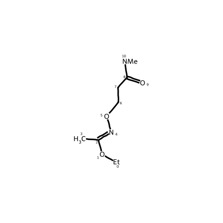 CCOC(C)=NOCCC(=O)NC